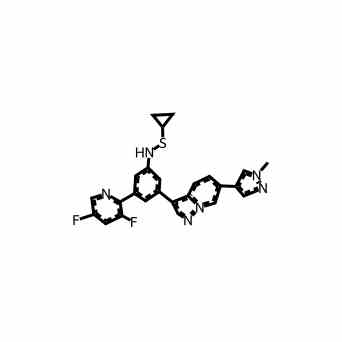 Cn1cc(-c2ccc3c(-c4cc(NSC5CC5)cc(-c5ncc(F)cc5F)c4)cnn3c2)cn1